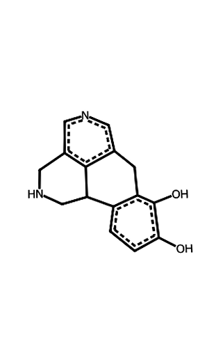 Oc1ccc2c(c1O)Cc1cncc3c1C2CNC3